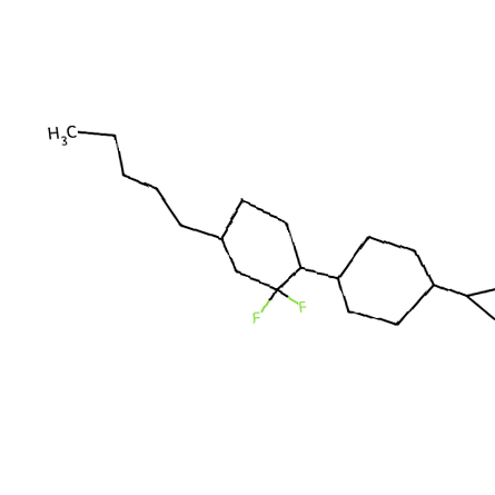 CCCCCC1CCC(C2CCC(C3CC3)CC2)C(F)(F)C1